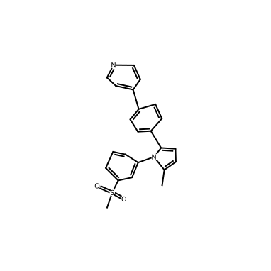 Cc1ccc(-c2ccc(-c3ccncc3)cc2)n1-c1cccc(S(C)(=O)=O)c1